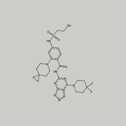 O=C(Nc1nc(N2CCC(F)(F)CC2)n2cnnc2n1)c1ccc(NS(=O)(=O)CCO)cc1N1CCC2(CC1)CC2